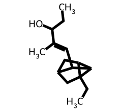 CCC(O)/C(C)=C/C1C2CC3C1C3(CC)C2